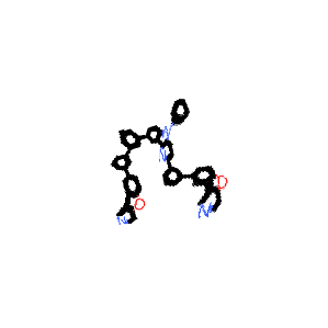 c1ccc(-n2c3ccc(-c4cccc(-c5cccc(-c6ccc7oc8ccncc8c7c6)c5)c4)cc3c3nc(-c4cccc(-c5ccc6oc7ccncc7c6c5)c4)ccc32)cc1